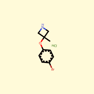 CC1(Oc2ccc(Br)cc2)CNC1.Cl